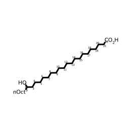 CCCCCCCCC(O)CCCCCCCCCCCCCCCCCCCC(=O)O